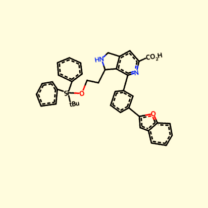 CC(C)(C)[Si](OCCC1NCc2cc(C(=O)O)nc(-c3cccc(-c4cc5ccccc5o4)c3)c21)(c1ccccc1)c1ccccc1